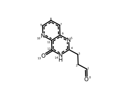 O=CCCc1nc2cccnc2c(=O)[nH]1